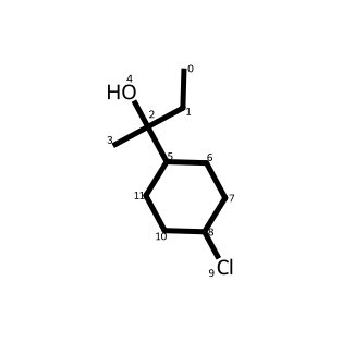 CCC(C)(O)C1CCC(Cl)CC1